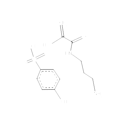 C=C(C)C(=O)NCCCN.Cc1ccc(S(=O)(=O)O)cc1